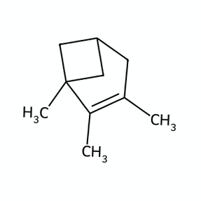 CC1=C(C)C2(C)CC(C1)C2